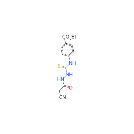 CCOC(=O)c1ccc(NC(=S)NNC(=O)CC#N)cc1